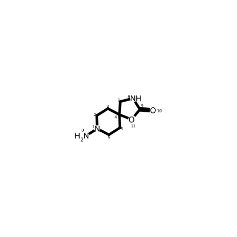 NN1CCC2(CC1)CNC(=O)O2